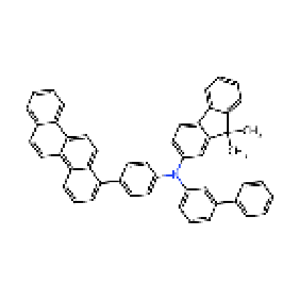 CC1(C)c2ccccc2-c2ccc(N(c3ccc(-c4cccc5c4ccc4c6ccccc6ccc54)cc3)c3cccc(-c4ccccc4)c3)cc21